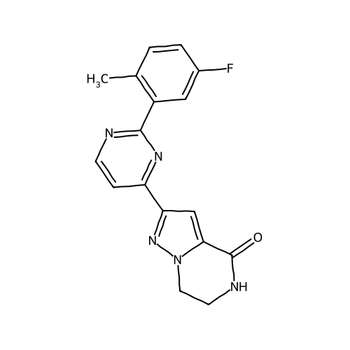 Cc1ccc(F)cc1-c1nccc(-c2cc3n(n2)CCNC3=O)n1